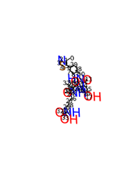 Cc1ncsc1-c1ccc(CNC(=O)[C@@H]2C[C@@H](O)CN2C(=O)C(NC(=O)CCCCNC(=O)O)C(C)(C)C)cc1